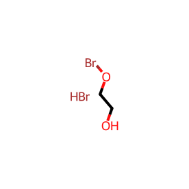 Br.OCCOBr